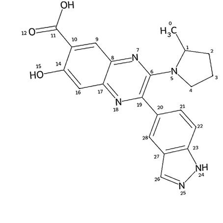 CC1CCCN1c1nc2cc(C(=O)O)c(O)cc2nc1-c1ccc2[nH]ncc2c1